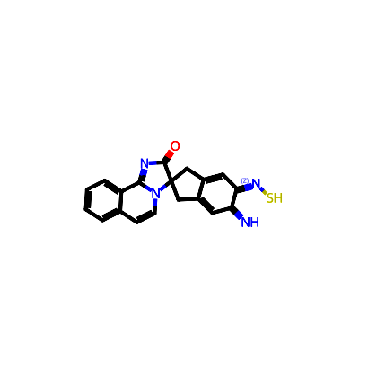 N=C1C=C2CC3(CC2=C/C1=N/S)C(=O)N=C1c2ccccc2C=CN13